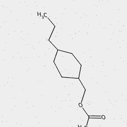 CC[CH]C1CCC(COC(C)=O)CC1